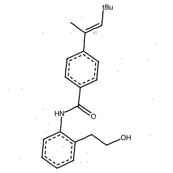 C/C(=C\C(C)(C)C)c1ccc(C(=O)Nc2ccccc2CCO)cc1